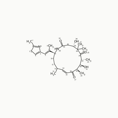 CC(=Cc1csc(C)n1)[C@@H]1CCC(C)/C=C/C(=O)[C@H](C)[C@H](O)[C@@H](C)C(=O)C(C)(C)[C@@H](O)CC(=O)N1